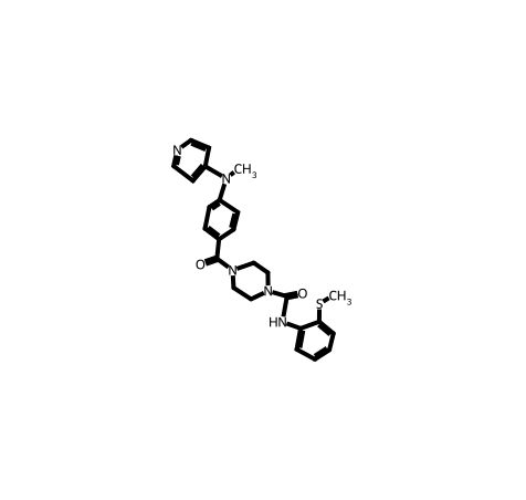 CSc1ccccc1NC(=O)N1CCN(C(=O)c2ccc(N(C)c3ccncc3)cc2)CC1